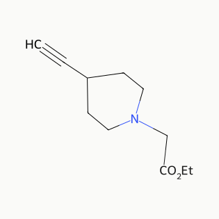 C#CC1CCN(CC(=O)OCC)CC1